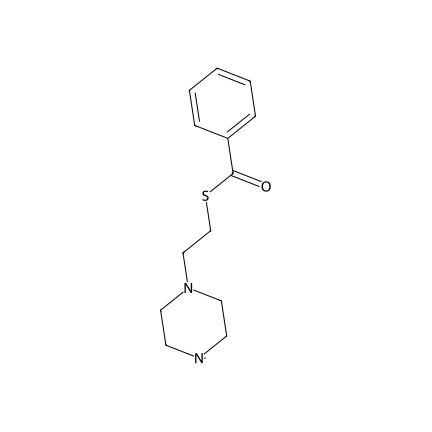 O=C(SCCN1CC[N]CC1)c1ccccc1